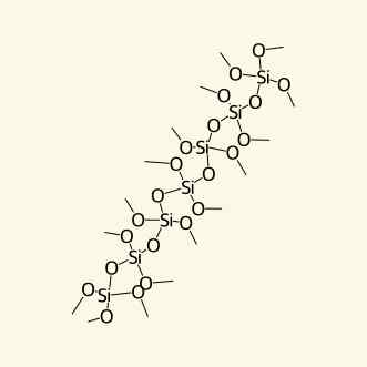 CO[Si](OC)(OC)O[Si](OC)(OC)O[Si](OC)(OC)O[Si](OC)(OC)O[Si](OC)(OC)O[Si](OC)(OC)O[Si](OC)(OC)OC